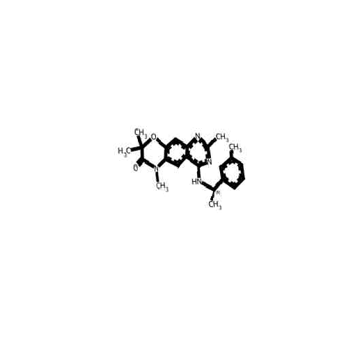 Cc1cccc([C@@H](C)Nc2nc(C)nc3cc4c(cc23)N(C)C(=O)C(C)(C)O4)c1